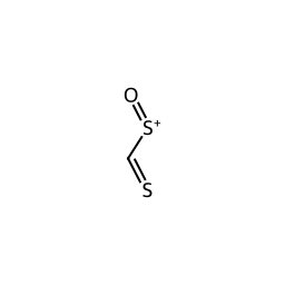 O=[S+]C=S